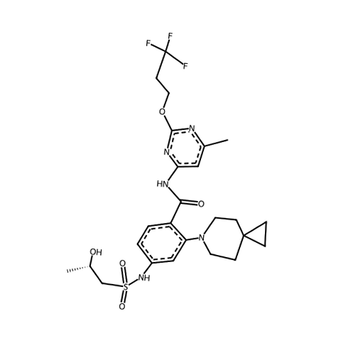 Cc1cc(NC(=O)c2ccc(NS(=O)(=O)C[C@H](C)O)cc2N2CCC3(CC2)CC3)nc(OCCC(F)(F)F)n1